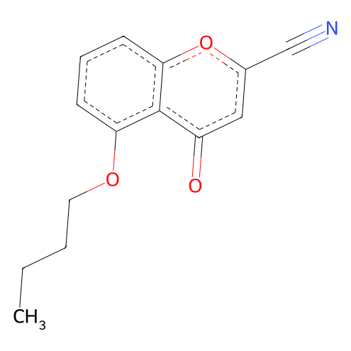 CCCCOc1cccc2oc(C#N)cc(=O)c12